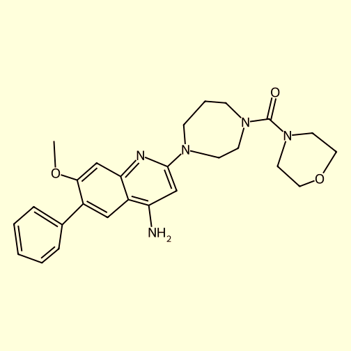 COc1cc2nc(N3CCCN(C(=O)N4CCOCC4)CC3)cc(N)c2cc1-c1ccccc1